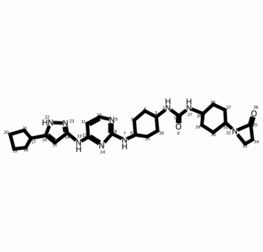 O=C(NC1CCC(Nc2nccc(Nc3cc(C4CCCC4)[nH]n3)n2)CC1)NC1CCC(N2CCC2=O)CC1